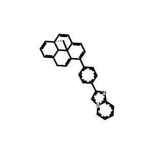 C1=C[C@@]23C=CC4=CC=C(c5ccc(-c6cn7ccccc7n6)cc5)C5=CCC(=C1)C2C45C3